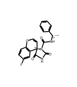 C[C@H](NC(=O)N1C(=O)NC(=O)[C@]12C=COc1ccc(F)cc12)c1ccccc1